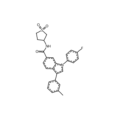 Cc1cccc(-c2cn(-c3ccc(F)cc3)c3cc(C(=O)NC4CCS(=O)(=O)C4)ccc23)c1